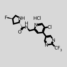 Cl.O=C(NCc1cc(-c2cnc(C(F)(F)F)nc2)c(Cl)cn1)[C@@H]1C[C@@H](F)CN1